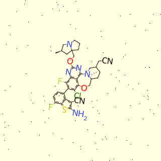 C[C@H]1CN2CCCC2(COc2nc3c4c(c(Cl)c(-c5ccc(F)c6sc(N)c(C#N)c56)c(F)c4n2)OCC2CCC(CC#N)CN32)C1